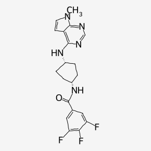 Cn1ccc2c(N[C@H]3CC[C@@H](NC(=O)c4cc(F)c(F)c(F)c4)CC3)ncnc21